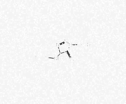 O=C(O)N1N=NC(NS(=O)(=O)O)C1=O